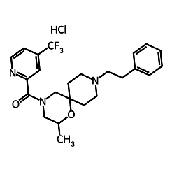 CC1CN(C(=O)c2cc(C(F)(F)F)ccn2)CC2(CCN(CCc3ccccc3)CC2)O1.Cl